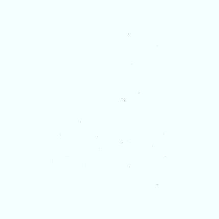 O=S(=O)(c1ccc(Cl)cc1)c1nc(-c2cccc(F)c2)oc1S(=O)(=O)C1CCCCC1